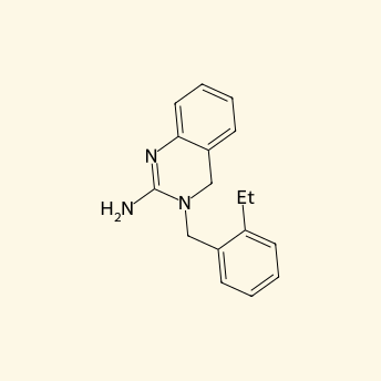 CCc1ccccc1CN1Cc2ccccc2N=C1N